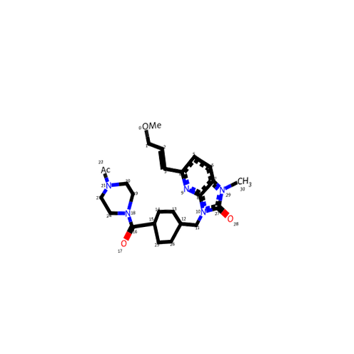 COCC=Cc1ccc2c(n1)n(CC1CCC(C(=O)N3CCN(C(C)=O)CC3)CC1)c(=O)n2C